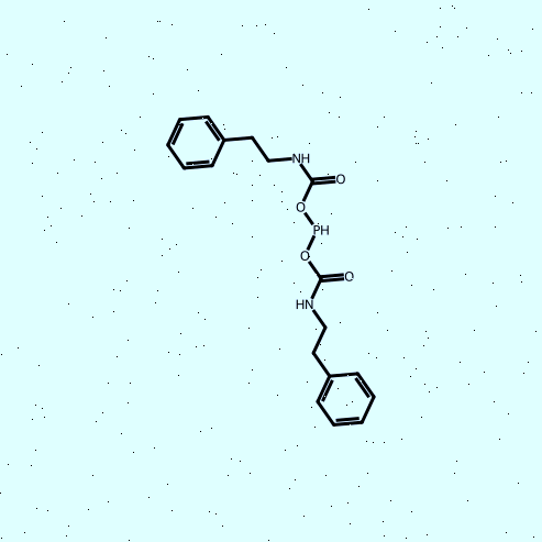 O=C(NCCc1ccccc1)OPOC(=O)NCCc1ccccc1